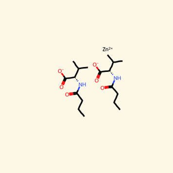 CCCC(=O)N[C@H](C(=O)[O-])C(C)C.CCCC(=O)N[C@H](C(=O)[O-])C(C)C.[Zn+2]